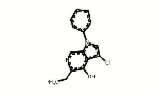 [CH2]Cc1ncc2c(c(Cl)cn2-c2ccccc2)c1O